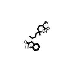 CC(C)[C@@H]1CCC(C)(CCC(C)[C@H]2C(=O)Nc3ccccc32)NC1=O